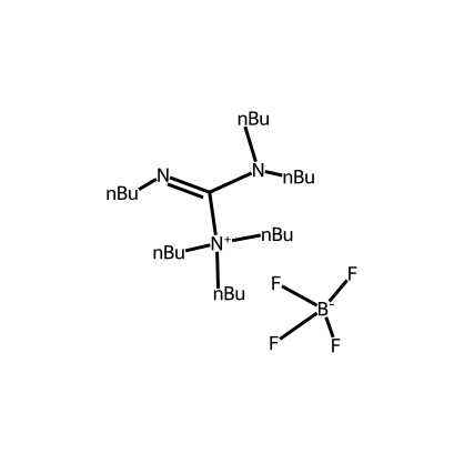 CCCCN=C(N(CCCC)CCCC)[N+](CCCC)(CCCC)CCCC.F[B-](F)(F)F